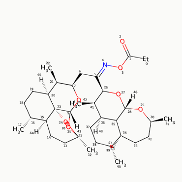 CCC(=O)O/N=C(/C[C@H]1O[C@@H]2O[C@]3(C)CC[C@H]4[C@H](C)CC[C@@H]([C@H]1C)[C@@]24OO3)[C@H]1O[C@@H]2O[C@@H](C)CC[C@@H]3C2[C@@H](CC[C@H]3C)[C@H]1C